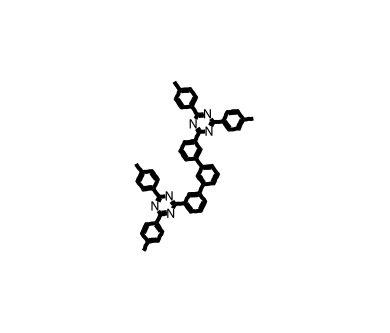 Cc1ccc(-c2nc(-c3ccc(C)cc3)nc(-c3cccc(-c4cccc(-c5cccc(-c6nc(-c7ccc(C)cc7)nc(-c7ccc(C)cc7)n6)c5)c4)c3)n2)cc1